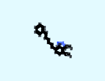 Cc1ccc(C=CC=CC=Cc2ccccc2)c(N)c1C